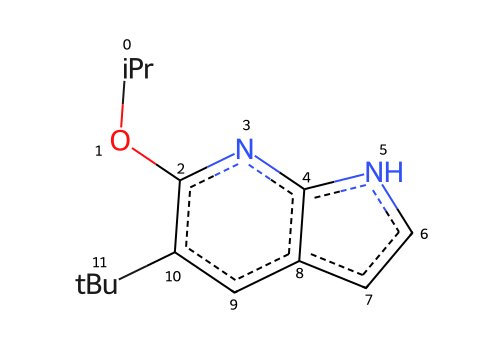 CC(C)Oc1nc2[nH]ccc2cc1C(C)(C)C